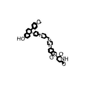 COc1ccc(C2CCc3cc(O)ccc3[C@H]2c2ccc(N3CCC(CN4CCN(c5ccc6c(c5)CN(C5CCC(=O)NC5=O)C6=O)CC4)CC3)cc2)cc1